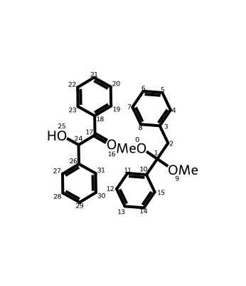 COC(Cc1ccccc1)(OC)c1ccccc1.O=C(c1ccccc1)C(O)c1ccccc1